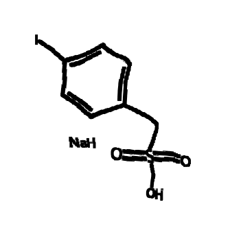 O=S(=O)(O)Cc1ccc(I)cc1.[NaH]